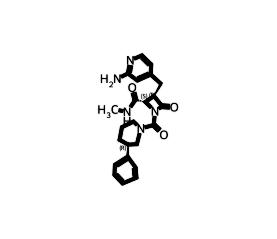 CNC(=O)[C@@H]1[C@@H](Cc2ccnc(N)c2)C(=O)N1C(=O)N1CCC[C@H](c2ccccc2)C1